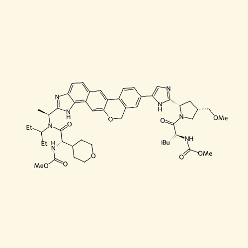 CCC(CC)N(C(=O)[C@@H](NC(=O)OC)C1CCOCC1)[C@@H](C)c1nc2ccc3cc4c(cc3c2[nH]1)OCc1cc(-c2cnc([C@@H]3C[C@H](COC)CN3C(=O)[C@@H](NC(=O)OC)[C@@H](C)CC)[nH]2)ccc1-4